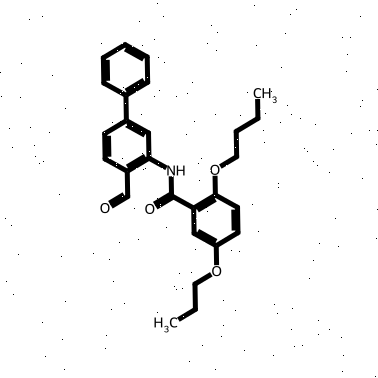 CCCCOc1ccc(OCCC)cc1C(=O)Nc1cc(-c2ccccc2)ccc1C=O